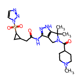 CN1CCC(C(=O)N2Cc3c(NC(=O)CC4CC4S(=O)(=O)n4ccnn4)n[nH]c3C2(C)C)CC1